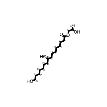 CCC(O)COC(=O)CCCCCCCC(O)CCCCCCCO